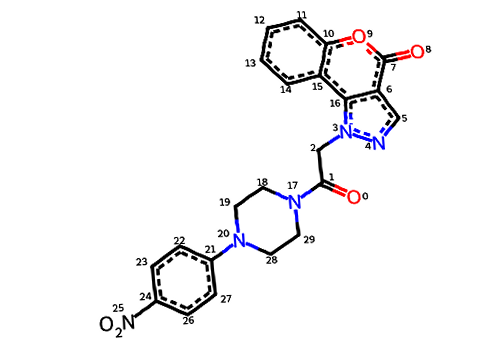 O=C(Cn1ncc2c(=O)oc3ccccc3c21)N1CCN(c2ccc([N+](=O)[O-])cc2)CC1